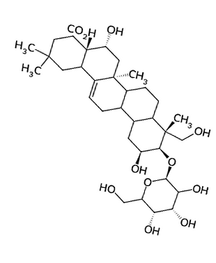 CC1(C)CC[C@@]2(C(=O)O)C(C1)C1=CCC3C4C[C@H](O)[C@H](O[C@@H]5OC(CO)[C@@H](O)[C@@H](O)C5O)[C@@](C)(CO)C4CCC3[C@]1(C)C[C@H]2O